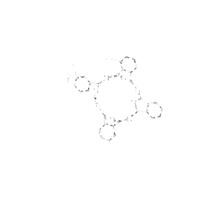 Clc1cccc2c3nc4nc(nc5[nH]c(nc6nc(nc([nH]3)c12)-c1ccccc1-6)c1ccccc51)-c1ccccc1-4.[Cl][Cu][Cl]